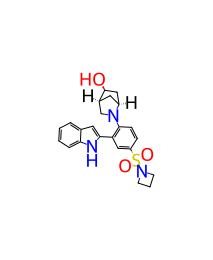 O=S(=O)(c1ccc(N2C[C@@H]3C[C@H]2C[C@@H]3O)c(-c2cc3ccccc3[nH]2)c1)N1CCC1